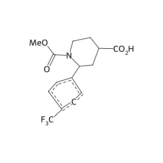 COC(=O)N1CCC(C(=O)O)CC1c1ccc(C(F)(F)F)cc1